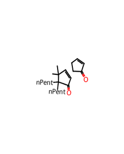 CCCCCC1(CCCCC)C(=O)C=CC1(C)C.O=C1C=CCC1